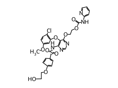 COc1ccc(Cl)c(Oc2c(NS(=O)(=O)c3ccc(OCCO)cc3)ncnc2OCCOC(=O)Nc2ccccn2)c1